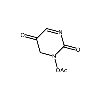 CC(=O)ON1CC(=O)C=NC1=O